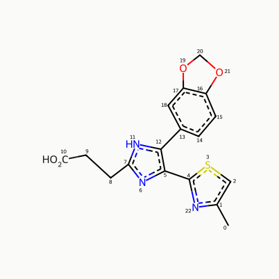 Cc1csc(-c2nc(CCC(=O)O)[nH]c2-c2ccc3c(c2)OCO3)n1